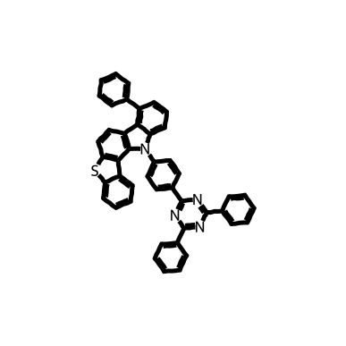 c1ccc(-c2nc(-c3ccccc3)nc(-c3ccc(-n4c5cccc(-c6ccccc6)c5c5ccc6sc7ccccc7c6c54)cc3)n2)cc1